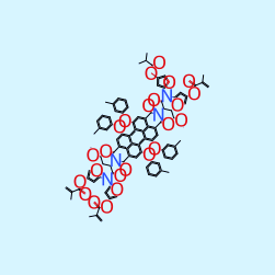 C=C(C)C(=O)Oc1coc(N(C(=O)C(CCOC)N2C(=O)c3cc(Oc4cccc(C)c4)c4c5c(Oc6cccc(C)c6)cc6c7c(cc(Oc8cccc(C)c8)c(c8c(Oc9cccc(C)c9)cc(c3c48)C2=O)c75)C(=O)N(C(CCOC)C(=O)N(c2cc(OC(=O)C(=C)C)co2)c2cc(OC(=O)C(C)C)co2)C6=O)c2cc(OC(=O)C(=C)C)co2)c1